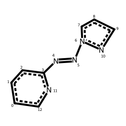 c1ccc(/N=N/n2cccn2)nc1